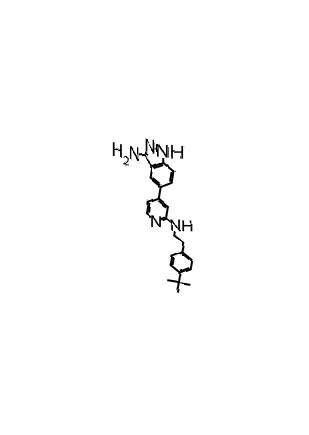 CC(C)(C)c1ccc(CCNc2cc(-c3ccc4[nH]nc(N)c4c3)ccn2)cc1